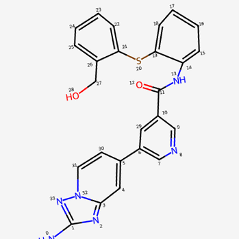 Nc1nc2cc(-c3cncc(C(=O)Nc4ccccc4Sc4ccccc4CO)c3)ccn2n1